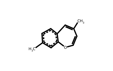 CC1=Cc2ccc(C)cc2OC=C1